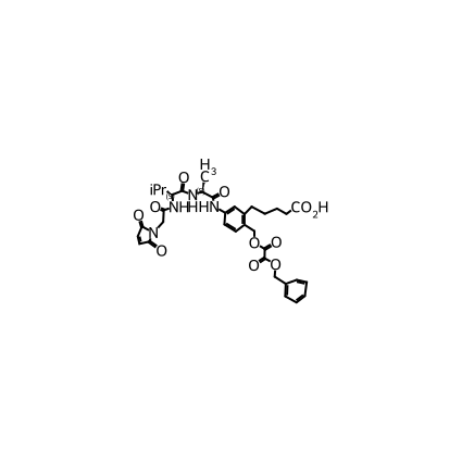 CC(C)[C@H](NC(=O)CN1C(=O)C=CC1=O)C(=O)N[C@@H](C)C(=O)Nc1ccc(COC(=O)C(=O)OCc2ccccc2)c(CCCCC(=O)O)c1